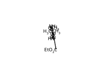 CCOC(=O)CCCCCCCCCCCC1=NC2(CCN(S(=O)(=O)/C=C/c3c(C)cc(N(C)C(N)=O)cc3C)CC2)C(=O)N1